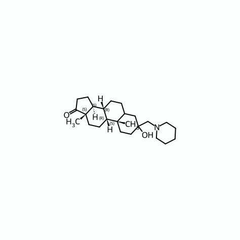 C[C@]12CCC(O)(CN3CCCCC3)CC1CC[C@@H]1[C@H]2CC[C@]2(C)C(=O)CC[C@@H]12